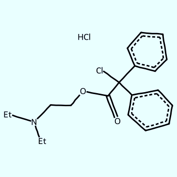 CCN(CC)CCOC(=O)C(Cl)(c1ccccc1)c1ccccc1.Cl